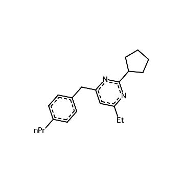 CCCc1ccc(Cc2cc(CC)nc(C3CCCC3)n2)cc1